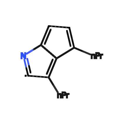 CCCC1=CC=C2N=[C]C(CCC)=C12